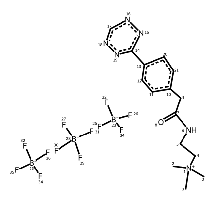 C[N+](C)(C)CCNC(=O)Cc1ccc(-c2nncnn2)cc1.F[B-](F)(F)F.F[B-](F)(F)F.F[B-](F)(F)F